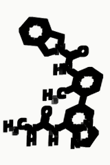 CNC(=O)Nc1cc(-c2cccc(NC(=O)N3Cc4ccccc4C3)c2C)cn2ccnc12